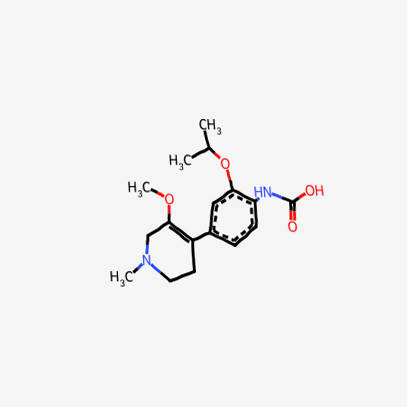 COC1=C(c2ccc(NC(=O)O)c(OC(C)C)c2)CCN(C)C1